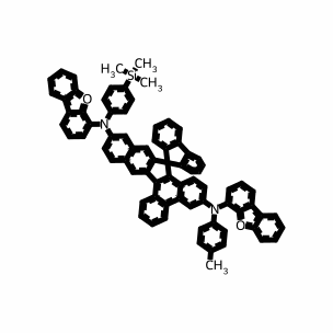 Cc1ccc(N(c2ccc3c4c(c5ccccc5c3c2)-c2cc3ccc(N(c5ccc([Si](C)(C)C)cc5)c5cccc6c5oc5ccccc56)cc3cc2C42c3ccccc3-c3ccccc32)c2cccc3c2oc2ccccc23)cc1